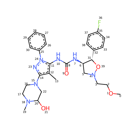 COCCN1C[C@@H](NC(=O)Nc2c(C)c(N3CCN(C)C(O)C3)nn2-c2ccccc2)[C@H](c2ccc(F)cc2)O1